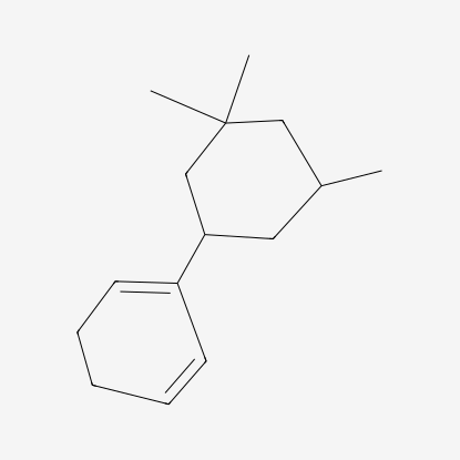 CC1CC(C2=CCCC=C2)CC(C)(C)C1